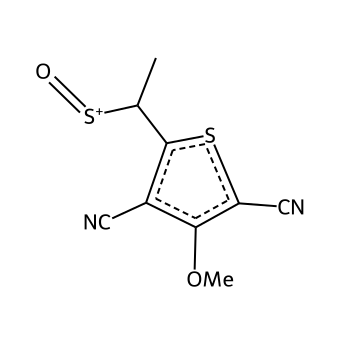 COc1c(C#N)sc(C(C)[S+]=O)c1C#N